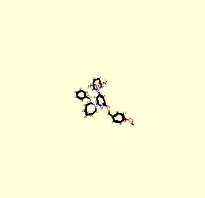 COc1ccc(COc2cc(N3C[C@H]4CC[C@@H](C3)O4)cc(N3CCCCC[C@@H]3Cc3ccccc3)n2)cc1